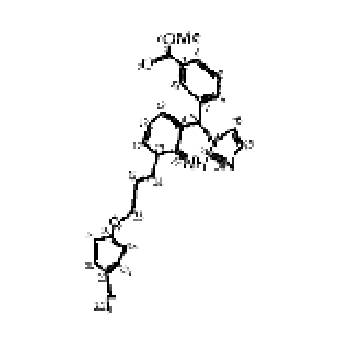 COC(=O)c1cccc(C(C2=CC=CC(CCCOc3ccc(F)cc3)C2=N)n2ccnc2)c1